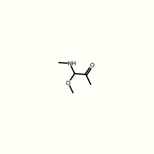 CN[C](OC)C(C)=O